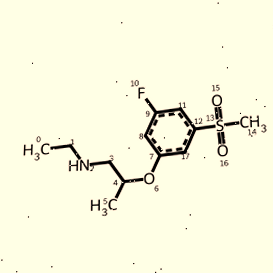 CCNCC(C)Oc1cc(F)cc(S(C)(=O)=O)c1